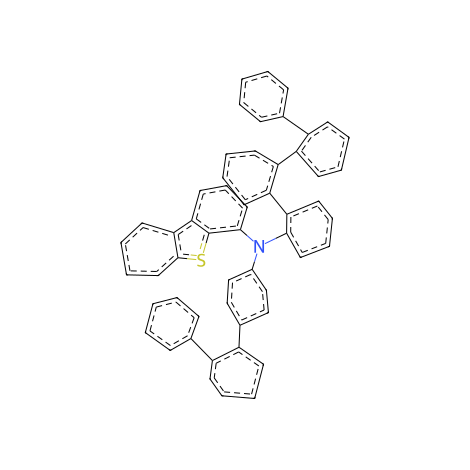 c1ccc(-c2ccccc2-c2ccc(N(c3ccccc3-c3ccccc3-c3ccccc3-c3ccccc3)c3cccc4c3sc3ccccc34)cc2)cc1